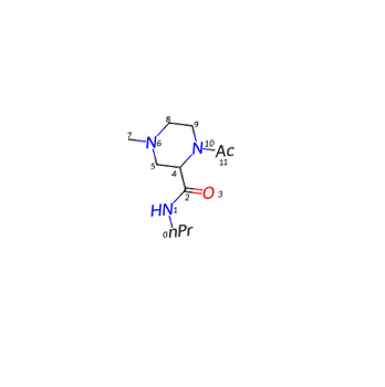 CCCNC(=O)C1CN(C)CCN1C(C)=O